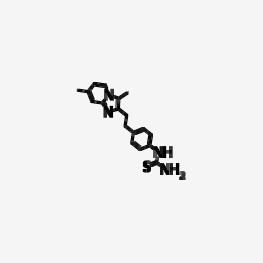 Cc1ccn2c(C)c(CCc3ccc(NC(N)=S)cc3)nc2c1